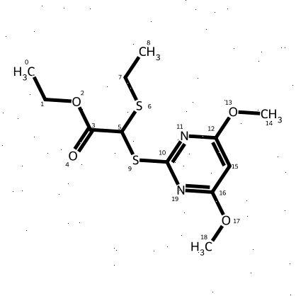 CCOC(=O)C(SCC)Sc1nc(OC)cc(OC)n1